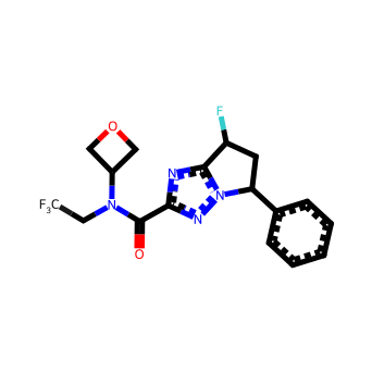 O=C(c1nc2n(n1)C(c1ccccc1)CC2F)N(CC(F)(F)F)C1COC1